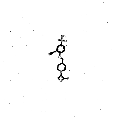 N#Cc1cc(S(N)(=O)=O)ccc1OCC1CCN(C2COC2F)CC1